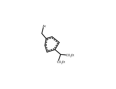 CCOC(=O)C(C(=O)OCC)c1ccc(CC(C)=O)cc1